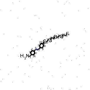 NCc1ccc(/C=C/c2ccc(OCCOCCOCCOCCF)cc2)cc1